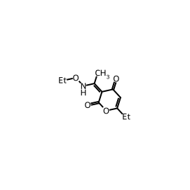 CCONC(C)=C1C(=O)C=C(CC)OC1=O